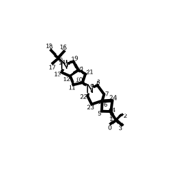 CC(C)(C)C1CC2(CCN(C3CC4CN(C(C)(C)C)CC4C3)CC2)C1